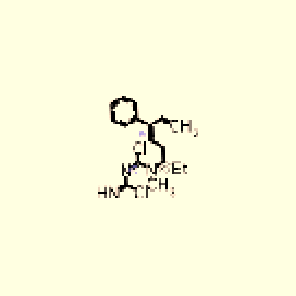 C=C/C(=C\C[C@H](CC)N(C)/C(Cl)=N\C(=N)Cl)c1ccccc1